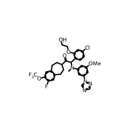 COc1cc(N(C)C(C(=O)C2CCc3cc(F)c(OC(F)(F)F)cc3CC2)c2ccc(Cl)cc2OCCO)cc(-n2cncn2)c1